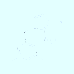 Cc1cc(C)cc(Cn2nnc(Br)c2C(=O)O)c1